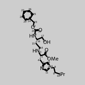 COC(=O)[C@H](Cc1cn(CCC(C)C)cn1)NCC[C@@H](CO)NC(=O)OCc1ccccc1